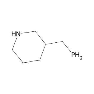 PCC1CCCNC1